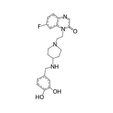 O=c1cnc2ccc(F)cc2n1CCN1CCC(NCc2ccc(O)c(O)c2)CC1